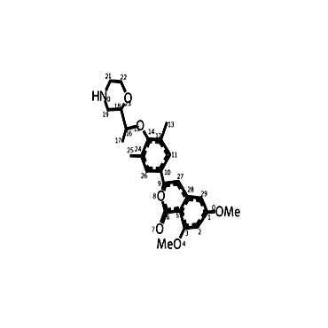 COc1cc(OC)c2c(=O)oc(-c3cc(C)c(OC(C)C4CNCCO4)c(C)c3)cc2c1